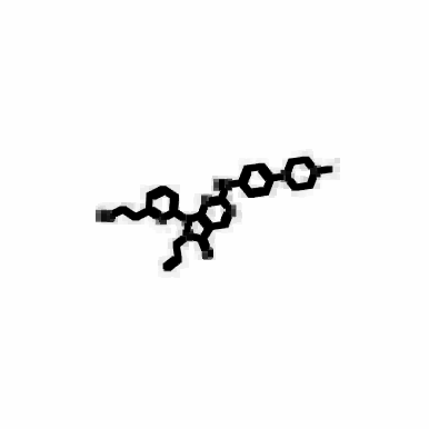 C=CCn1c(=O)c2cnc(Nc3ccc(N4CCN(C)CC4)cc3)nc2n1-c1cccc(CCO)n1